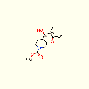 CCC(=O)[C@H](C)[C@H](O)C1CCN(C(=O)OC(C)(C)C)CC1